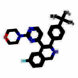 CC(C)(C)c1ccc(C2=C(c3ccnc(N4CCOCC4)n3)c3cc(F)ccc3[CH]N2)cc1